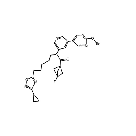 CCOc1ncc(-c2cncc(N(CCCCCc3nc(C4CC4)no3)C(=O)C34CC(F)(C3)C4)c2)cn1